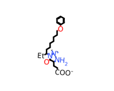 CCC(CCCCCCCOc1ccccc1)N(C(=O)C(N)CCC(=O)[O-])[N+](C)(C)C